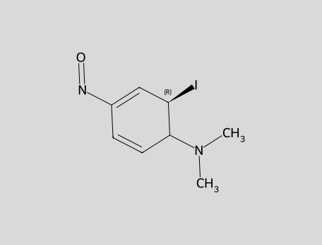 CN(C)C1C=CC(N=O)=C[C@H]1I